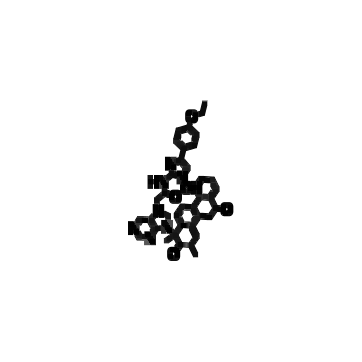 CCOc1ccc(-c2cn(O)c(NC(=O)CN3CN(C4(C)C(=O)C(C)C=c5c4ccc4c5=CC(=O)c5ccccc5-4)c4ncncc43)n2)cc1